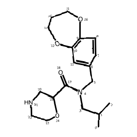 CC(C)CN(Cc1ccc2c(c1)OCCCO2)C(=O)C1CNCCO1